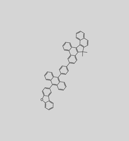 CC1(C)c2ccc3ccccc3c2-c2c1c1ccc(-c3ccc(-c4c5ccccc5c(-c5ccc6oc7ccccc7c6c5)c5ccccc45)cc3)cc1c1ccccc21